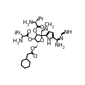 C=NC[C@@]1(c2ccc(/C(N)=N\C=N)[nH]2)O[C@H](COC(=O)CC2CCCCC2)[C@@H](OC(=O)[C@@H](N)C(C)C)[C@H]1OC(=O)[C@@H](N)C(C)C